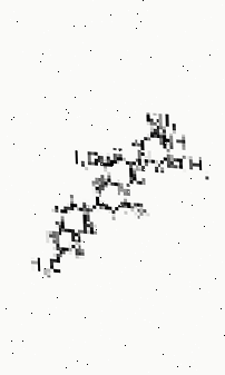 Cc1nc2ccc(-c3cc(=O)n4cc(N5C[C@@H](C)N[C@@H](C)C5)cc(C)c4n3)nn2n1